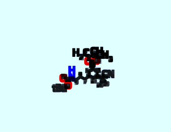 C=C1OB(c2cc(CCCNC(=O)OC(C)(C)C)cc(C3(C#N)CC3)c2)OC1(C)C